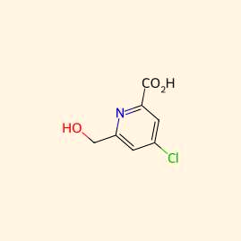 O=C(O)c1cc(Cl)cc(CO)n1